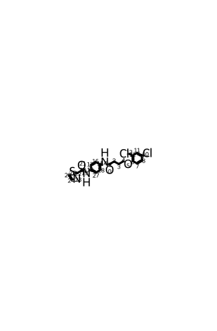 O=C(CCCOc1ccc(Cl)cc1Cl)Nc1ccc(NC(=O)c2nccs2)cc1